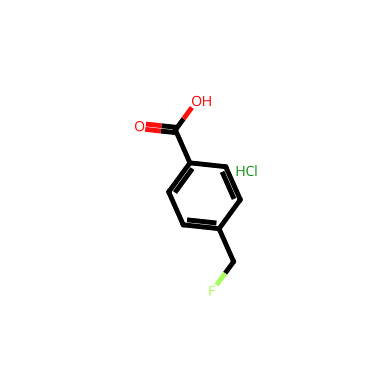 Cl.O=C(O)c1ccc(CF)cc1